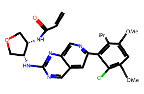 C=CC(=O)N[C@H]1COC[C@H]1Nc1ncc2cc(-c3c(Cl)c(OC)cc(OC)c3C(C)C)ncc2n1